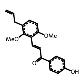 C=CCc1ccc(OC)c(/C=C/C(=O)c2ccc(O)cc2)c1OC